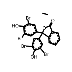 CC.O=C1OC(c2cc(Br)c(O)c(Br)c2)(c2cc(Br)c(O)c(Br)c2)c2ccccc21